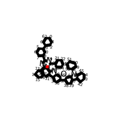 c1ccc(-c2cccc(-c3nc(-c4ccccc4)nc(-c4ccccc4-n4c5ccccc5c5ccc6c7ccc8c9ccccc9n(-c9ccccc9)c8c7oc6c54)n3)c2)cc1